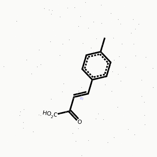 Cc1ccc(/C=C/C(=O)C(=O)O)cc1